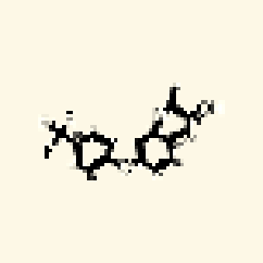 Cc1nc2cc(Oc3ccc(C(F)(F)F)cc3)ccc2cc1O